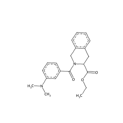 CCOC(=O)C1Cc2ccccc2CN1C(=O)c1cccc(N(C)C)c1